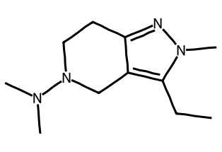 CCc1c2c(nn1C)CCN(N(C)C)C2